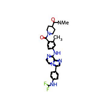 CNC(=O)C1CCN(C(=O)c2ccc(Nc3nccn4c(-c5ccc(NC(F)F)cc5)cnc34)cc2C)CC1